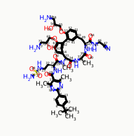 Cc1nc(-c2ccc(C(C)(C)C)cc2)nc(C)c1C(=O)N[C@@H](CCNS(N)(=O)=O)C(=O)N(C)[C@@H]1C(=O)N[C@@H](C)C(=O)N[C@H](C(=O)NCC#N)Cc2ccc(OC[C@H](O)CN)c(c2)-c2cc1ccc2OC[C@H](O)CN